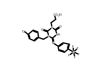 CCOC(=O)CCn1c(=O)[nH]/c(=N\c2ccc(S(F)(F)(F)(F)F)cc2)n(Cc2ccc(Cl)cc2)c1=O